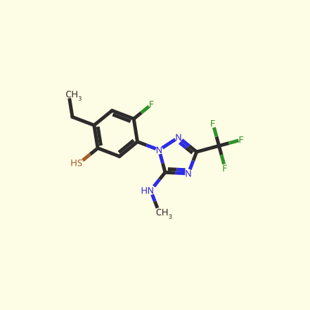 CCc1cc(F)c(-n2nc(C(F)(F)F)nc2NC)cc1S